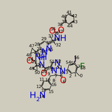 Cc1cc(N2C(=O)[C@@](C)(Cc3ccc(N)cc3)n3c(C(=O)NC4(C(=O)NC5(c6ccc(C(C)(C)NC(=O)OCc7ccccc7)nn6)CC5)CC4)cnc32)cc(I)c1F